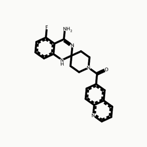 NC1=NC2(CCN(C(=O)c3ccc4ncccc4c3)CC2)Nc2cccc(F)c21